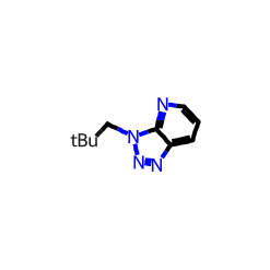 CC(C)(C)Cn1nnc2cccnc21